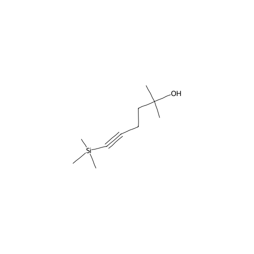 CC(C)(O)CCC#C[Si](C)(C)C